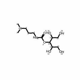 CN(C)CCCNC(=O)OC(C(O)CO)C(O)CO